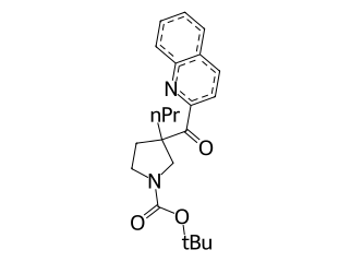 CCCC1(C(=O)c2ccc3ccccc3n2)CCN(C(=O)OC(C)(C)C)C1